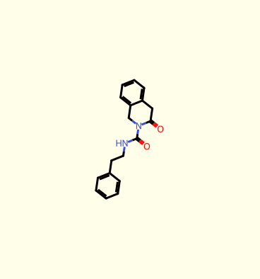 O=C1Cc2ccccc2CN1C(=O)NCCc1ccccc1